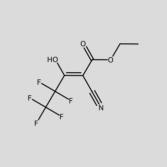 CCOC(=O)/C(C#N)=C(\O)C(F)(F)C(F)(F)F